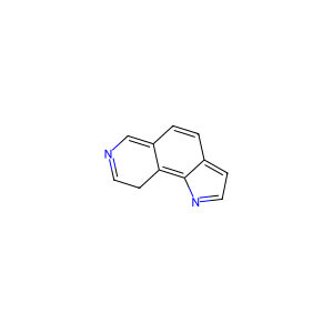 C1=NC=c2ccc3c(c2C1)N=CC=3